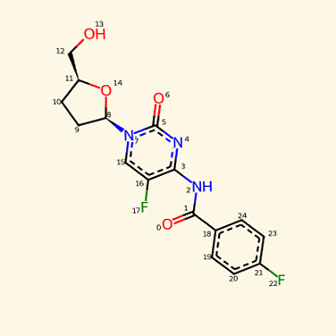 O=C(Nc1nc(=O)n([C@H]2CC[C@@H](CO)O2)cc1F)c1ccc(F)cc1